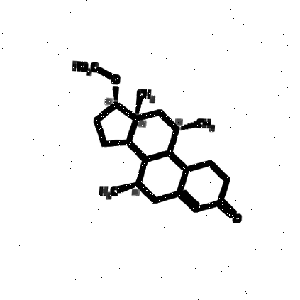 C[C@@H]1CC2=CC(=O)CCC2C2C1C1CC[C@H](OC(=O)O)[C@@]1(C)C[C@@H]2C